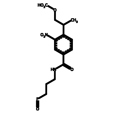 CC(COC(=O)O)c1ccc(C(=O)NCCCP=O)cc1[N+](=O)[O-]